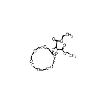 CCOC(=O)C1OC2(COCCOCCOCCOCCOCCO2)OC1C(=O)OCC